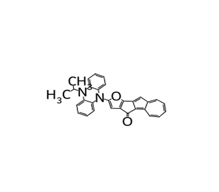 CC(C)N1c2ccccc2N(c2cc3c(o2)-c2cc4cccccc-4c2C3=O)c2ccccc21